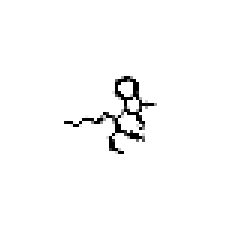 C\C=C/C(C#N)=C(\N=C\CCC)n1c(=O)n(C)c2ccccc21